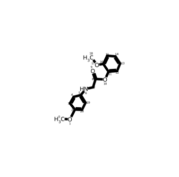 COc1ccc(NCC(=O)Oc2ccccc2OC)cc1